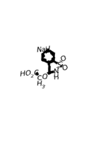 CC(=O)O.O=C1NS(=O)(=O)c2ccccc21.[NaH]